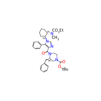 CCOC(=O)N(C)[C@H]1CCCC[C@@H]1n1cnc(C(=O)N2CCN(C(=O)OC(C)(C)C)C[C@H]2Cc2ccccc2)c1-c1ccccc1